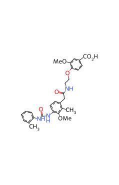 COc1cc(C(=O)O)ccc1OCCNC(=O)Cc1ccc(NC(=O)Nc2ccccc2C)c(OC)c1C